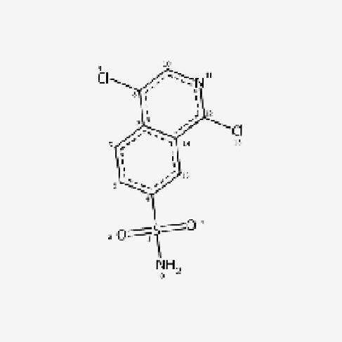 NS(=O)(=O)c1ccc2c(Cl)cnc(Cl)c2c1